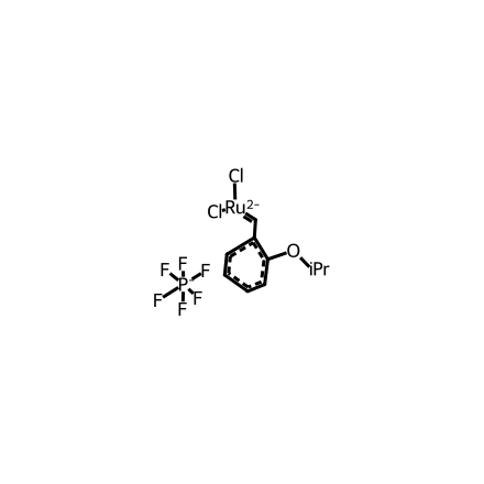 CC(C)Oc1ccccc1[CH]=[Ru-2]([Cl])[Cl].F[P-](F)(F)(F)(F)F